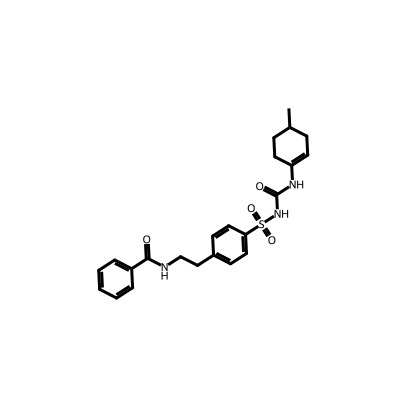 CC1CC=C(NC(=O)NS(=O)(=O)c2ccc(CCNC(=O)c3ccccc3)cc2)CC1